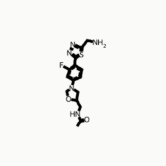 CC(=O)NCC1CN(c2ccc(-c3nnc(CN)s3)c(F)c2)CO1